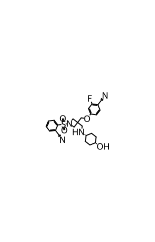 N#Cc1ccc(OCC2(CN[C@H]3CC[C@H](O)CC3)CN(S(=O)(=O)c3ccccc3C#N)C2)cc1F